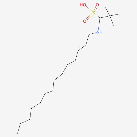 CCCCCCCCCCCCCCNC(C(C)(C)C)S(=O)(=O)O